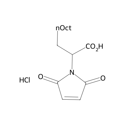 CCCCCCCCCC(C(=O)O)N1C(=O)C=CC1=O.Cl